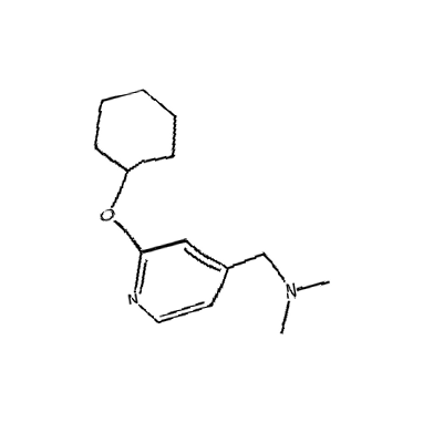 CN(C)Cc1ccnc(OC2CCCCC2)c1